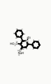 CCn1c(-c2ccccc2)cc(=O)c(C(=O)O)c1-c1ccccc1.[NaH]